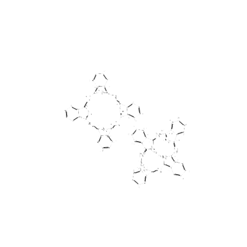 c1ccc2c(c1)-c1nc-2nc2[nH]c(nc3nc(nc4[nH]c(n1)c1ccccc41)-c1ccccc1-3)c1ccccc21.c1ccc2c(c1)C1=NC/2=N\c2c3ccccc3c3[n]2[Cu][n]2/c(c4ccccc4/c2=N/C2=N\C(=N/3)c3ccccc32)=N\1